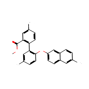 CC(C)COc1ccc(-c2cc([N+](=O)[O-])ccc2Oc2ccc3cc(C#N)ccc3c2)c(C(=O)OC(C)(C)C)c1